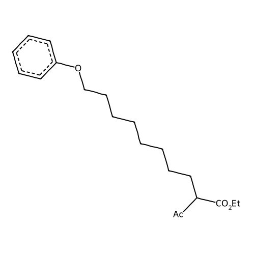 CCOC(=O)C(CCCCCCCCOc1ccccc1)C(C)=O